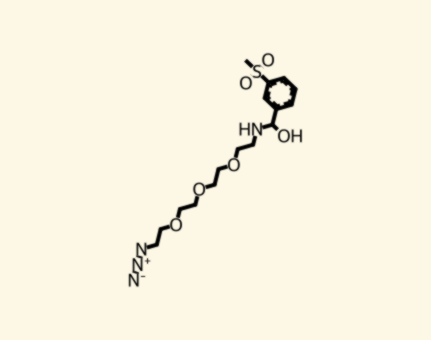 CS(=O)(=O)c1cccc(C(O)NCCOCCOCCOCCN=[N+]=[N-])c1